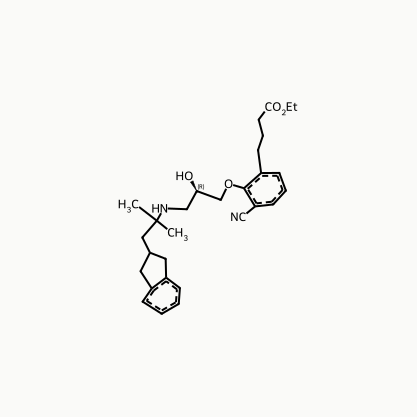 CCOC(=O)CCCc1cccc(C#N)c1OC[C@H](O)CNC(C)(C)CC1Cc2ccccc2C1